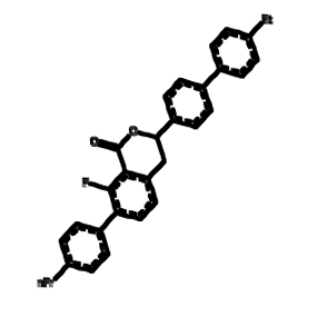 CCCc1ccc(-c2ccc3c(c2F)C(=O)OC(c2ccc(-c4ccc(CC)cc4)cc2)C3)cc1